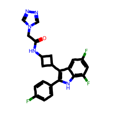 O=C(Cn1cnnc1)NC1CC(c2c(-c3ccc(F)cc3)[nH]c3c(F)cc(F)cc23)C1